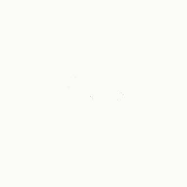 C=C(CCC(=O)N1CCCC1c1cccc(C)c1)N1C(=O)CCC1=O